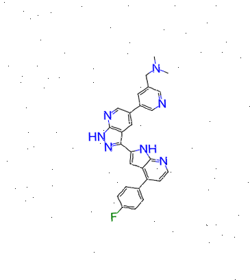 CN(C)Cc1cncc(-c2cnc3[nH]nc(-c4cc5c(-c6ccc(F)cc6)ccnc5[nH]4)c3c2)c1